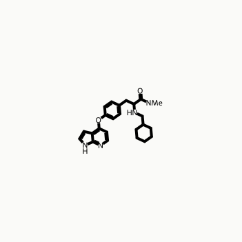 CNC(=O)C(Cc1ccc(Oc2ccnc3[nH]ccc23)cc1)NCC1CCCCC1